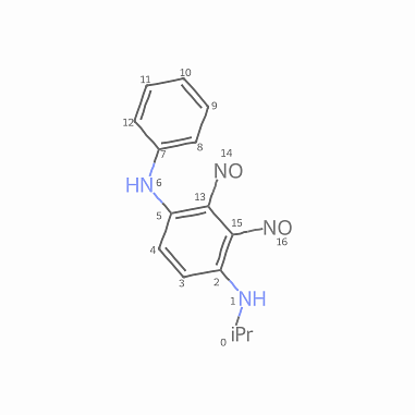 CC(C)Nc1ccc(Nc2ccccc2)c(N=O)c1N=O